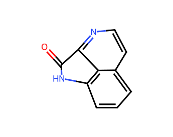 O=C1Nc2cccc3ccnc1c23